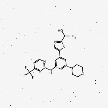 CC(O)c1ncc(-c2cc(Nc3nccc(C(F)(F)F)n3)cc(N3CCOCC3)c2)s1